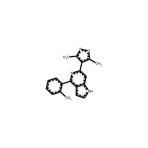 Cc1ccccc1-c1nc(-c2c(C)noc2C)cc2[nH]ccc12